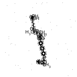 CC[C@@H]([C@H](C)OC(=O)OC(C)OC(=O)CCCCCOP(=O)(O)O)n1ncn(-c2ccc(N3CCN(c4ccc(OC[C@@H]5CO[C@](C)(Cn6cncn6)C5)cc4)CC3)cc2)c1=O